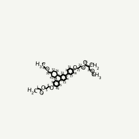 C=CC(=O)OCCOc1ccc(-c2ccc(-c3ccc(OCCOC(=O)C(=C)COC)cc3)cc2C2CCC(COCC)CC2)cc1